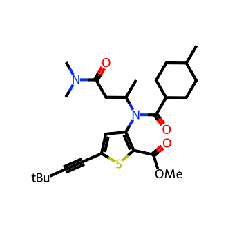 COC(=O)c1sc(C#CC(C)(C)C)cc1N(C(=O)C1CCC(C)CC1)C(C)CC(=O)N(C)C